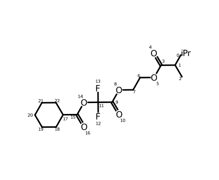 CC(C)C(C)C(=O)OCCOC(=O)C(F)(F)OC(=O)C1CCCCC1